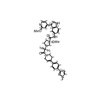 [2H]C([2H])(C(=O)N1CC=C(c2ccc(-c3ncn(C)n3)cc2)CC1)N1CC[C@@](OC)(C(=O)Nc2ccc3[nH]nc(-c4ccnc(OC)c4)c3c2)C1